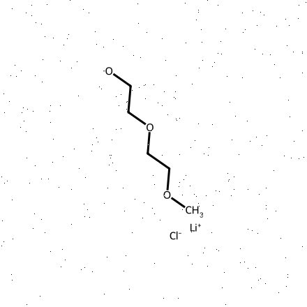 COCCOCC[O].[Cl-].[Li+]